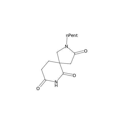 CCCCCN1CC2(CCC(=O)NC2=O)CC1=O